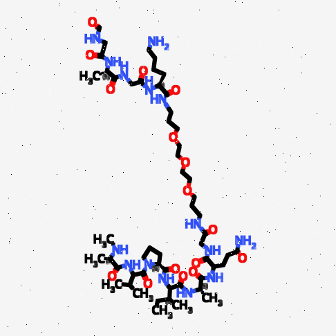 CC[C@H](C)C(NC(=O)[C@@H]1CCCN1C(=O)C(NC(=O)[C@H](C)NC)C(C)C)C(=O)N[C@@H](C)C(=O)NC(CCC(N)=O)C(=O)NCC(=O)NCCCOCCOCCOCCCNC(=O)[C@H](CCCCN)NC(=O)CNC(=O)[C@H](C)NC(=O)CNC=O